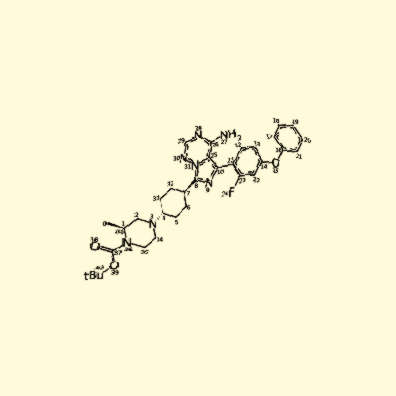 C[C@H]1CN([C@H]2CC[C@H](c3nc(-c4ccc(Oc5ccccc5)cc4F)c4c(N)ncnn43)CC2)CCN1C(=O)OC(C)(C)C